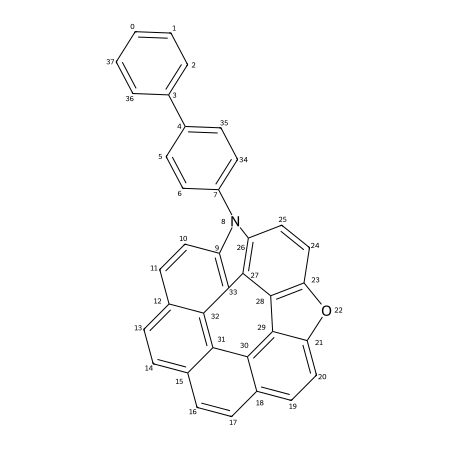 c1ccc(-c2ccc(-n3c4ccc5ccc6ccc7ccc8oc9ccc3c3c9c8c7c6c5c34)cc2)cc1